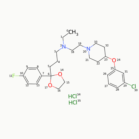 CCN(CCCC1(c2ccc(F)cc2)OCCO1)CCN1CCC(Oc2cccc(Cl)c2)CC1.Cl.Cl